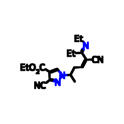 CC/N=C(CC)/C(C#N)=C\CC(C)n1cc(C(=O)OCC)c(C#N)n1